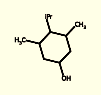 CC(C)C1C(C)CC(O)CC1C